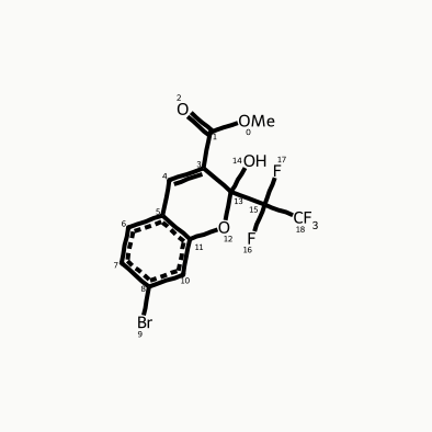 COC(=O)C1=Cc2ccc(Br)cc2OC1(O)C(F)(F)C(F)(F)F